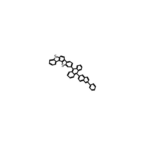 c1ccc(-c2ccc3cc(-c4c5ccccc5c(-c5ccc6c(c5)sc5c6ccc6sc7ccccc7c65)c5ccccc45)ccc3c2)cc1